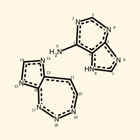 Nc1ncnc2nc[nH]c12.c1cc2ncnc-2nnn1